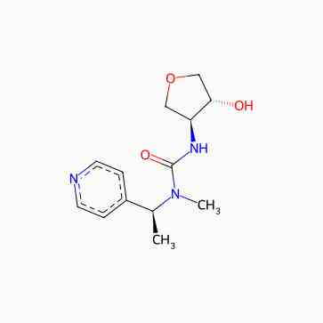 C[C@@H](c1ccncc1)N(C)C(=O)N[C@H]1COC[C@@H]1O